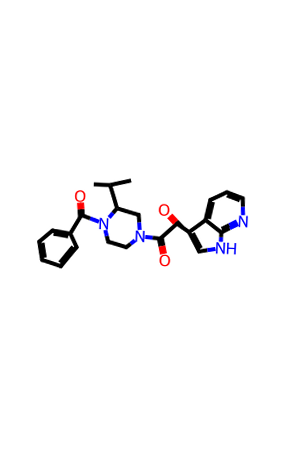 CC(C)C1CN(C(=O)C(=O)c2c[nH]c3ncccc23)CCN1C(=O)c1ccccc1